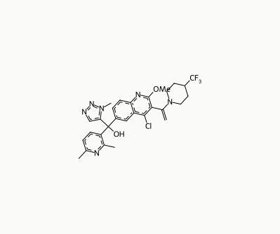 C=C(c1c(OC)nc2ccc(C(O)(c3ccc(C)nc3C)c3cnnn3C)cc2c1Cl)N1CCC(C(F)(F)F)CC1